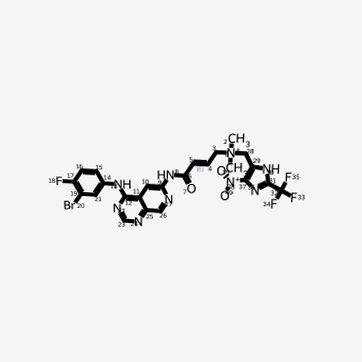 C[N+](C)(C/C=C/C(=O)Nc1cc2c(Nc3ccc(F)c(Br)c3)ncnc2cn1)Cc1[nH]c(C(F)(F)F)nc1[N+](=O)[O-]